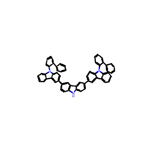 c1ccc(-c2ccccc2-n2c3ccccc3c3cc(-c4ccc5[nH]c6ccc(-c7ccc8c(c7)c7ccccc7n8-c7ccccc7-c7ccccc7)cc6c5c4)ccc32)cc1